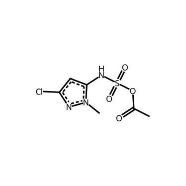 CC(=O)OS(=O)(=O)Nc1cc(Cl)nn1C